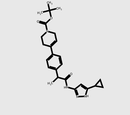 CC(C(=O)Nc1cc(C2CC2)[nH]n1)c1ccc(C2=CCN(C(=O)OC(C)(C)C)CC2)cc1